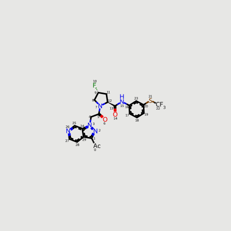 CC(=O)c1nn(CC(=O)N2C[C@H](F)C[C@H]2C(=O)Nc2cccc(SC(F)(F)F)c2)c2cnccc12